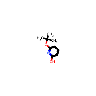 CC(C)(C)Oc1cccc(O)n1